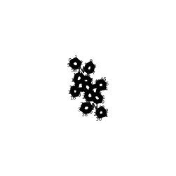 c1ccc(N(c2ccccc2)c2ccc3c4ccccc4c4c5ccc6c(N(c7ccccc7)c7ccccc7)ccc7c8ccccc8c(c8ccc2c3c84)c5c67)cc1